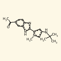 CC(=O)c1ccc2nc(-c3cc(NC(C)(C)C)cn3C)[nH]c2c1